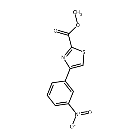 COC(=O)c1nc(-c2cccc([N+](=O)[O-])c2)cs1